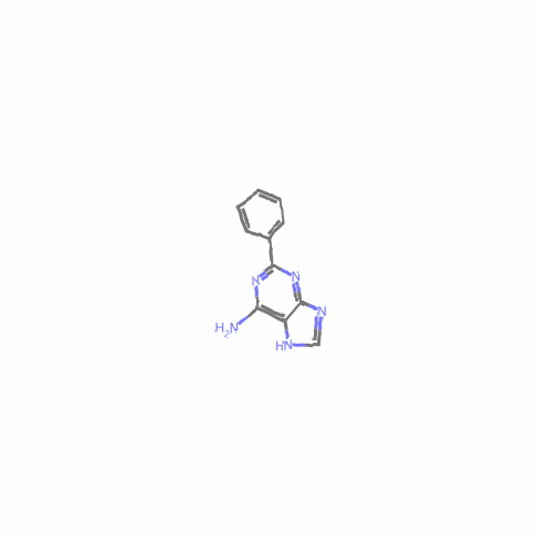 Nc1nc(-c2ccccc2)nc2nc[nH]c12